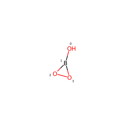 OB1OO1